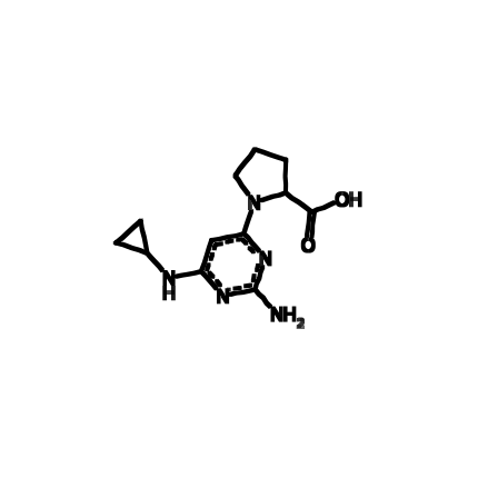 Nc1nc(NC2CC2)cc(N2CCCC2C(=O)O)n1